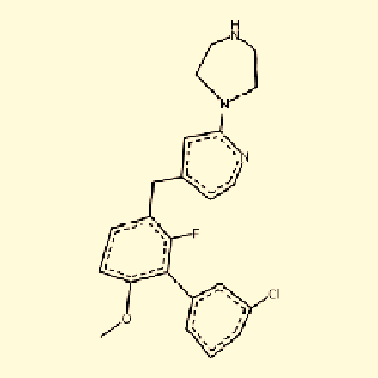 COc1ccc(Cc2ccnc(N3CCNCC3)c2)c(F)c1-c1cccc(Cl)c1